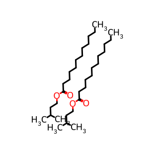 CCCCCCCCCCCC(=O)OCCC(C)C.CCCCCCCCCCCC(=O)OCCC(C)C